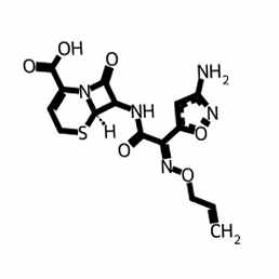 C=CCO/N=C(/C(=O)NC1C(=O)N2C(C(=O)O)=CCS[C@H]12)c1cc(N)no1